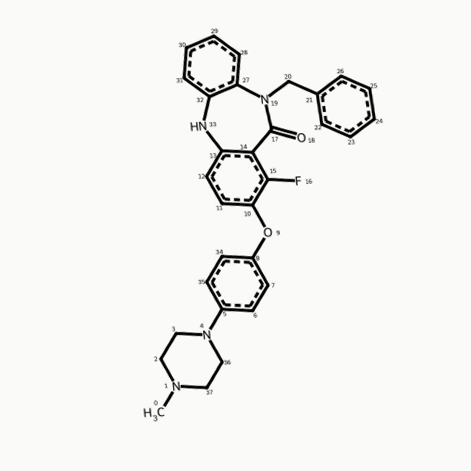 CN1CCN(c2ccc(Oc3ccc4c(c3F)C(=O)N(Cc3ccccc3)c3ccccc3N4)cc2)CC1